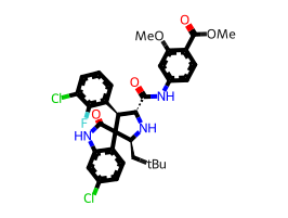 COC(=O)c1ccc(NC(=O)[C@@H]2N[C@@H](CC(C)(C)C)C3(C(=O)Nc4cc(Cl)ccc43)[C@H]2c2cccc(Cl)c2F)cc1OC